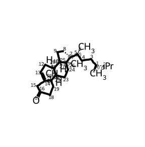 CC(C)[C@H](C)CC[C@@H](C)[C@H]1CC[C@H]2[C@@H]3CC=C4CC(=O)CC[C@]4(C)[C@H]3CC[C@]12C